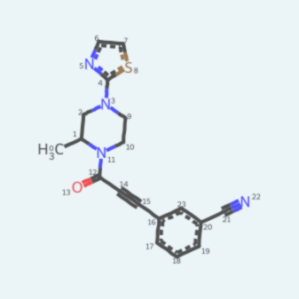 CC1CN(c2nccs2)CCN1C(=O)C#Cc1cccc(C#N)c1